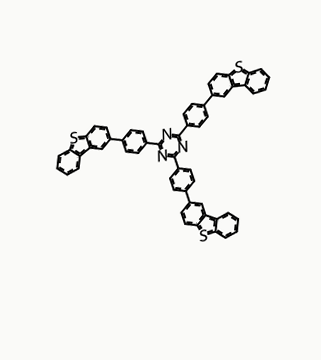 c1ccc2c(c1)sc1ccc(-c3ccc(-c4nc(-c5ccc(-c6ccc7sc8ccccc8c7c6)cc5)nc(-c5ccc(-c6ccc7sc8ccccc8c7c6)cc5)n4)cc3)cc12